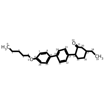 CCCCCOc1ccc(-c2ccc(C3CCC(CC)CC3=O)cc2)cc1